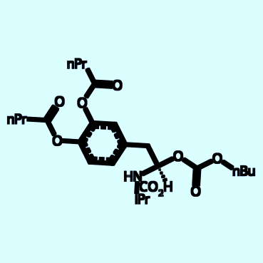 CCCCOC(=O)O[C@](Cc1ccc(OC(=O)CCC)c(OC(=O)CCC)c1)(NC(C)C)C(=O)O